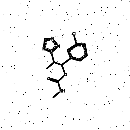 CNC(=O)OC(c1cccc(Cl)c1)C(C)n1ncnn1